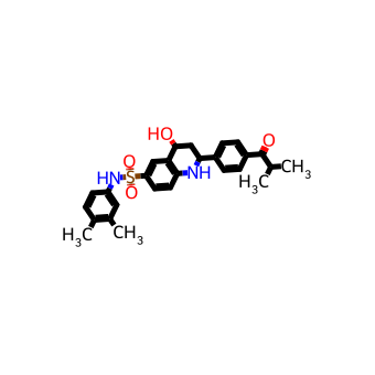 Cc1ccc(NS(=O)(=O)c2ccc3c(c2)C(O)CC(c2ccc(C(=O)C(C)C)cc2)N3)cc1C